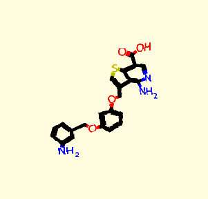 Nc1cccc(COc2cccc(OCc3csc4c(C(=O)O)cnc(N)c34)c2)c1